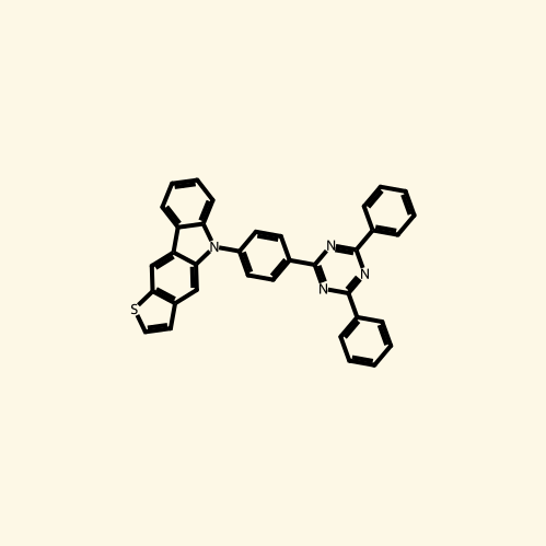 c1ccc(-c2nc(-c3ccccc3)nc(-c3ccc(-n4c5ccccc5c5cc6sccc6cc54)cc3)n2)cc1